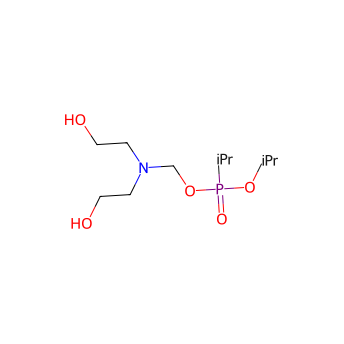 CC(C)OP(=O)(OCN(CCO)CCO)C(C)C